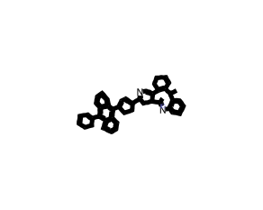 C/C1=N\c2ccccc2C(C)C2=C(CCC=C2)C2=CN=C(C3=CC=C(c4c5ccccc5c(C5=CC=CCC5)c5ccccc45)CC3)CC21